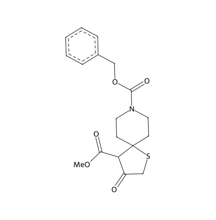 COC(=O)C1C(=O)CSC12CCN(C(=O)OCc1ccccc1)CC2